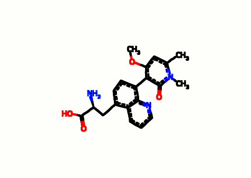 COc1cc(C)n(C)c(=O)c1-c1ccc(C[C@H](N)C(=O)O)c2cccnc12